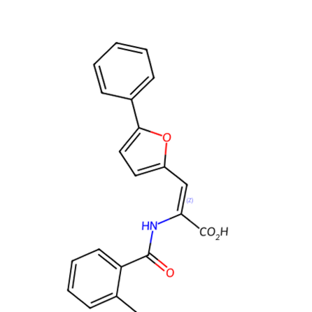 Cc1ccccc1C(=O)N/C(=C\c1ccc(-c2ccccc2)o1)C(=O)O